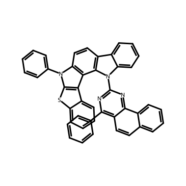 c1ccc(-c2nc(-n3c4ccccc4c4ccc5c(c6c7ccccc7sc6n5-c5ccccc5)c43)nc3c2ccc2ccccc23)cc1